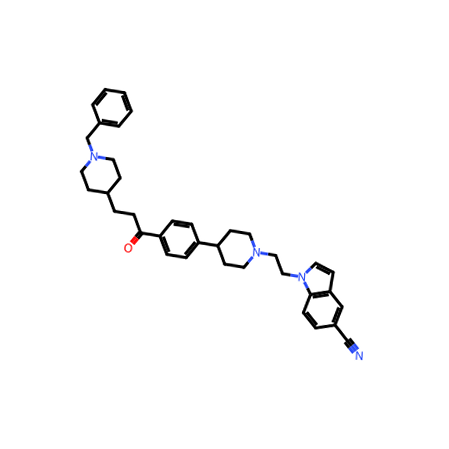 N#Cc1ccc2c(ccn2CCN2CCC(c3ccc(C(=O)CCC4CCN(Cc5ccccc5)CC4)cc3)CC2)c1